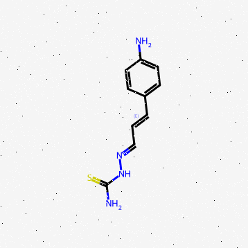 NC(=S)NN=C/C=C/c1ccc(N)cc1